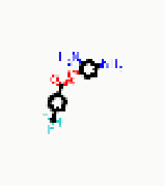 Nc1ccc(OOC(=O)c2ccc(C(F)(F)F)cc2)c(N)c1